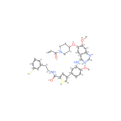 C=CC(=O)N1CCC(Oc2cc3c(Nc4cc(-c5csc(C(=O)NCCc6cccc(F)c6)c5)ccc4OC)ncnc3cc2OC)CC1